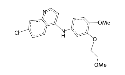 COCCOc1cc(Nc2ccnc3cc(Cl)ccc23)ccc1OC